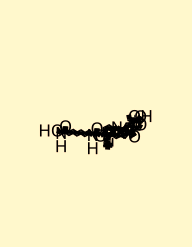 CC[C@@]1(O)C(=O)OCc2c1cc1n(c2=O)Cc2cc3c([Si](C)(C)C(C)(C)C)c(OC(=O)NCCCCCCC(=O)NO)ccc3nc2-1